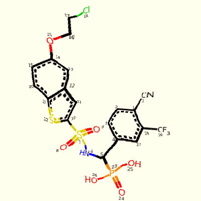 N#Cc1ccc(C(NS(=O)(=O)c2cc3cc(OCCCl)ccc3s2)P(=O)(O)O)cc1C(F)(F)F